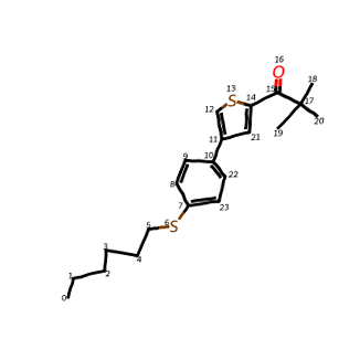 CCCCCCSc1ccc(-c2csc(C(=O)C(C)(C)C)c2)cc1